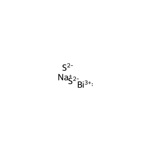 [Bi+3].[Na+].[S-2].[S-2]